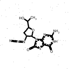 CC(O)C1CC(N=[N+]=[N-])C(n2c(=O)sc3c(=O)[nH]c(N)nc32)O1